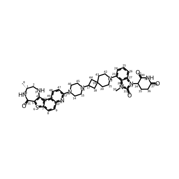 C[C@@H]1CNc2c(sc3ccc4nc(N5CCN(C6CC7(CCN(c8cccc9c8n(C)c(=O)n9C8CCC(=O)NC8=O)CC7)C6)CC5)ccc4c23)C(=O)N1